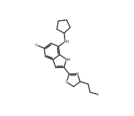 Fc1cc(NC2CCCC2)c2[nH]c(C3=NC(CCI)CS3)cc2c1